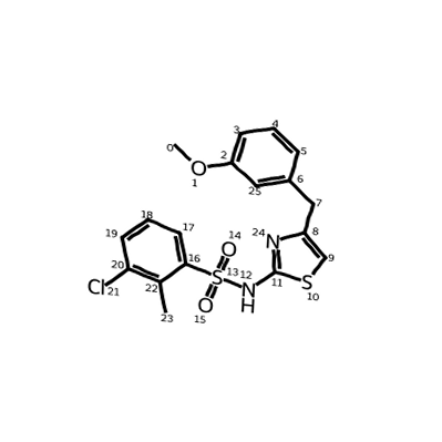 COc1cccc(Cc2csc(NS(=O)(=O)c3cccc(Cl)c3C)n2)c1